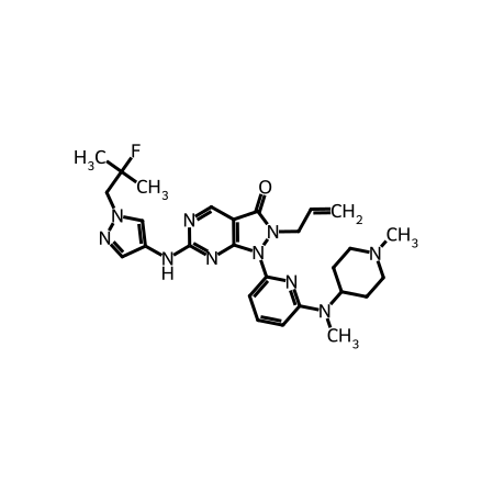 C=CCn1c(=O)c2cnc(Nc3cnn(CC(C)(C)F)c3)nc2n1-c1cccc(N(C)C2CCN(C)CC2)n1